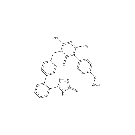 CCCCCOc1ccc(-n2c(C)nc(CCC)c(Cc3ccc(-c4ccccc4-c4noc(=O)[nH]4)cc3)c2=O)cc1